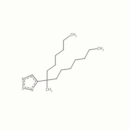 CCCCCCCC(C)(CCCCCC)c1cnsn1